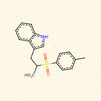 Cc1ccc(S(=O)(=O)C(Cc2c[nH]c3ccccc23)C(=O)O)cc1